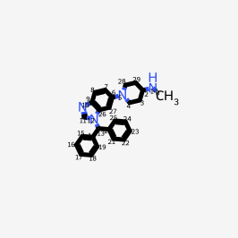 CNC1CCN(c2ccc3ncn(C(c4ccccc4)c4ccccc4)c3c2)CC1